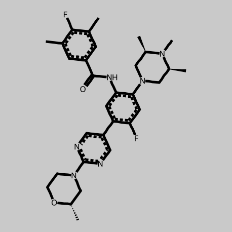 Cc1cc(C(=O)Nc2cc(-c3cnc(N4CCO[C@@H](C)C4)nc3)c(F)cc2N2C[C@@H](C)N(C)[C@@H](C)C2)cc(C)c1F